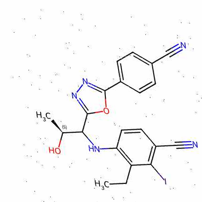 CCc1c(NC(c2nnc(-c3ccc(C#N)cc3)o2)[C@H](C)O)ccc(C#N)c1I